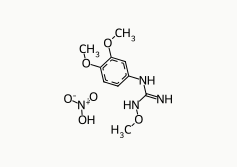 CONC(=N)Nc1ccc(OC)c(OC)c1.O=[N+]([O-])O